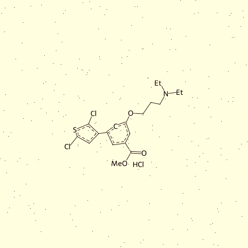 CCN(CC)CCCOc1cc(C(=O)OC)cc(-c2cc(Cl)sc2Cl)c1.Cl